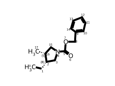 CC[C@H]1CN(C(=O)OCc2ccccc2)C[C@H]1C